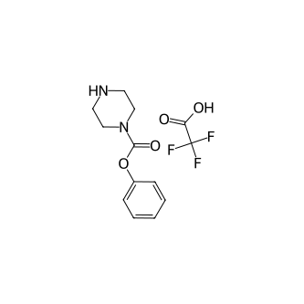 O=C(O)C(F)(F)F.O=C(Oc1ccccc1)N1CCNCC1